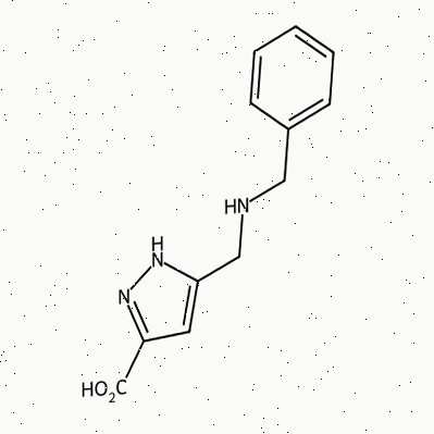 O=C(O)c1cc(CNCc2ccccc2)[nH]n1